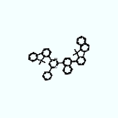 CC1(C)c2ccccc2-c2cccc(-c3cc(-c4ccccc4)nc(-c4ccc(-c5cccc6c5C(C)(C)c5c-6ccc6ccccc56)c5ccccc45)n3)c21